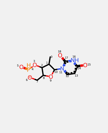 CC1C2O[PH](=O)OCC2OC1n1ccc(=O)[nH]c1=O